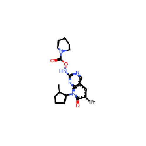 CC(C)c1cc2cnc(NOC(=O)N3CCCCC3)nc2n(C2CCCC2C)c1=O